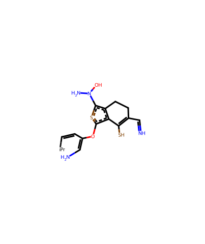 CC(C)/C=C\C(=C/N)Oc1sc(N(N)O)c2c1C(S)=C(C=N)CC2